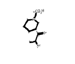 CC(=O)C(C)C(=O)[C@@H]1CCCN(C(=O)O)C1